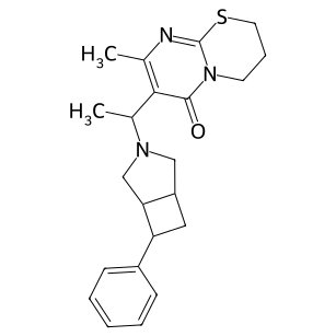 Cc1nc2n(c(=O)c1C(C)N1CC3CC(c4ccccc4)C3C1)CCCS2